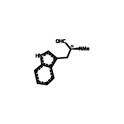 CN[C@H](C=O)Cc1c[nH]c2ccccc12